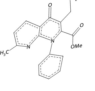 COC(=O)c1c(CN)c(=O)c2ccc(C)nc2n1-c1ccccc1